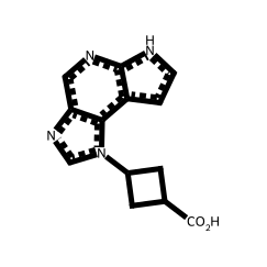 O=C(O)C1CC(n2cnc3cnc4[nH]ccc4c32)C1